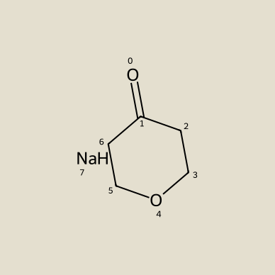 O=C1CCOCC1.[NaH]